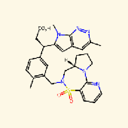 Cc1cc2cc([C@H](CC(=O)O)c3ccc(C)c(CN4C[C@@H]5CCCN5c5ncccc5S4(=O)=O)c3)n(C)c2nn1